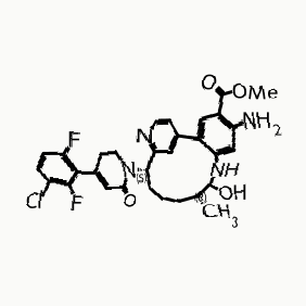 COC(=O)c1cc2c(cc1N)NC(O)[C@H](C)CCC[C@H](N1CCC(c3c(F)ccc(Cl)c3F)=CC1=O)c1cc-2ccn1